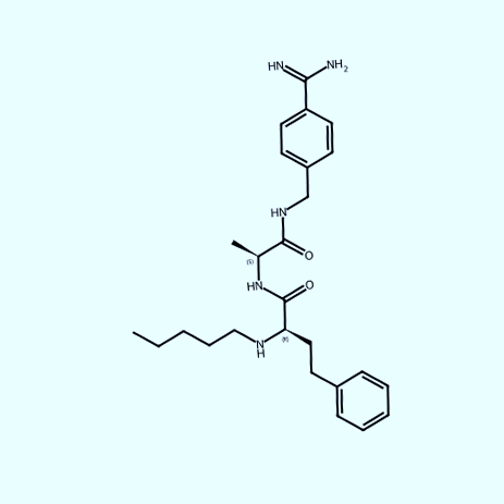 CCCCCN[C@H](CCc1ccccc1)C(=O)N[C@@H](C)C(=O)NCc1ccc(C(=N)N)cc1